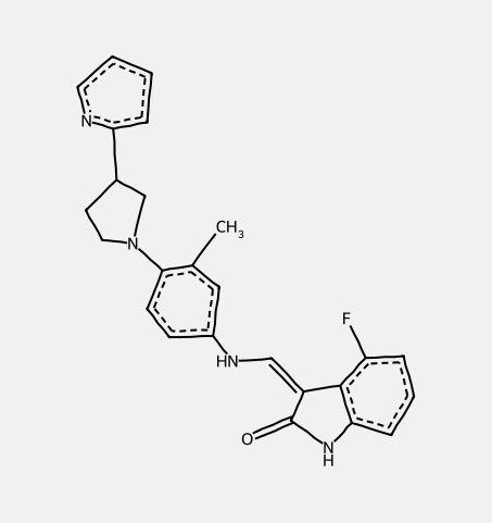 Cc1cc(N/C=C2\C(=O)Nc3cccc(F)c32)ccc1N1CCC(c2ccccn2)C1